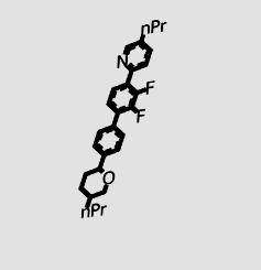 CCCc1ccc(-c2ccc(-c3ccc(C4CCC(CCC)CO4)cc3)c(F)c2F)nc1